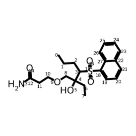 CCCC(C(O)(CC)COCCC(N)=O)S(=O)(=O)c1cccc2ccccc12